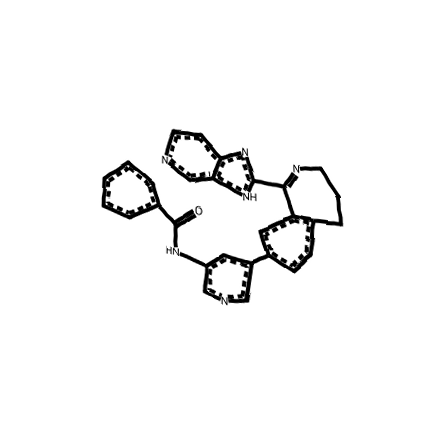 O=C(Nc1cncc(-c2ccc3c(c2)C(c2nc4ccncc4[nH]2)=NCCC3)c1)c1ccccc1